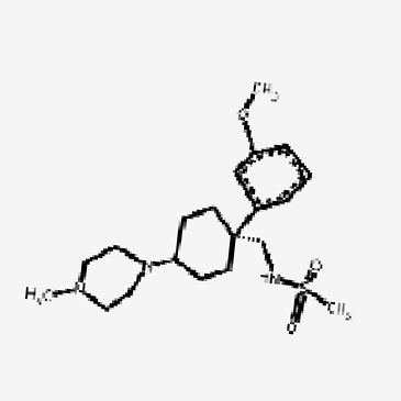 COc1cccc([C@]2(CNS(C)(=O)=O)CC[C@H](N3CCN(C)CC3)CC2)c1